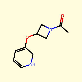 CC(=O)N1CC(OC2=CC=CNC2)C1